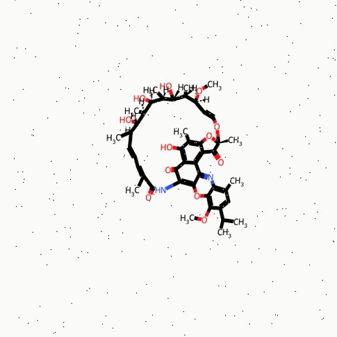 COc1c(C(C)C)cc(C)c2nc3c4c5c6c(C)c(O)c4c(=O)c(c-3oc12)NC(=O)/C(C)=C\C=C\[C@H](C)[C@H](O)[C@@H](C)[C@@H](O)[C@@H](C)[C@H](O)[C@H](C)[C@@H](OC)/C=C/O[C@@](C)(O6)C5=O